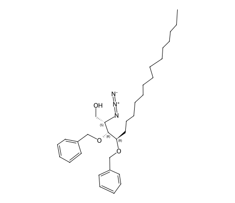 CCCCCCCCCCCCCC[C@@H](OCc1ccccc1)[C@H](OCc1ccccc1)[C@H](CO)N=[N+]=[N-]